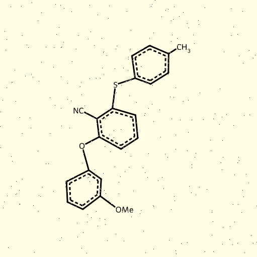 COc1cccc(Oc2cccc(Sc3ccc(C)cc3)c2C#N)c1